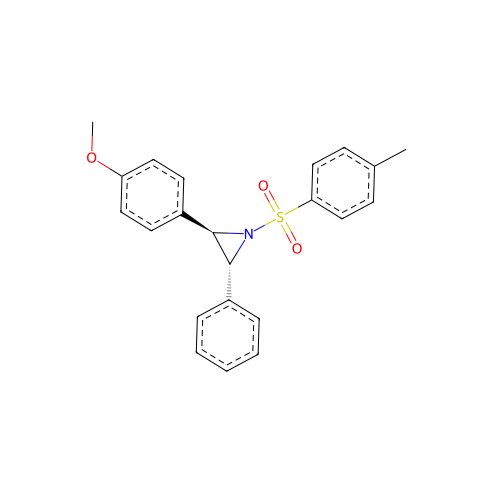 COc1ccc([C@@H]2[C@@H](c3ccccc3)N2S(=O)(=O)c2ccc(C)cc2)cc1